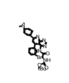 CN(C)c1ccc(-c2cc(-c3cccc(Br)c3)c3c(NC(=O)CNC(=O)OC(C)(C)C)ncnc3n2)cc1